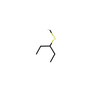 [CH2]SC(CC)CC